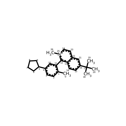 Cc1ccc(C2CCCC2)cc1-c1c2ccc(C(C)(C)C)cc2cc[n+]1C